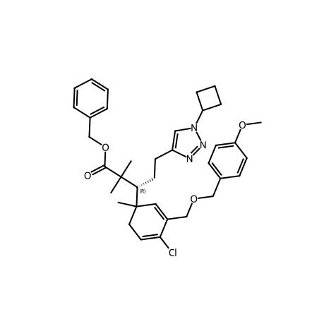 COc1ccc(COCC2=CC(C)([C@@H](CCc3cn(C4CCC4)nn3)C(C)(C)C(=O)OCc3ccccc3)CC=C2Cl)cc1